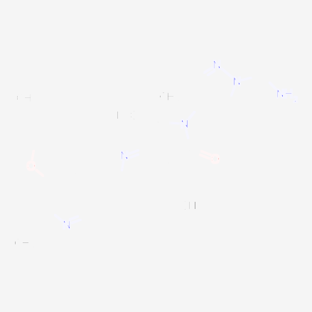 CCCOc1cc(-c2cc(C)c3c(n2)C(C)(C)N(c2cnn(CN)c2)C3=O)cnc1CC